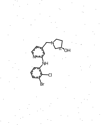 O[C@@H]1CCN(Cc2ccnc(Nc3cccc(Br)c3Cl)c2)C1